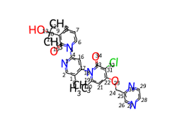 Cc1cnc(-n2cccc(C(C)(C)O)c2=O)cc1-n1c(C)cc(OCc2cnccn2)c(Cl)c1=O